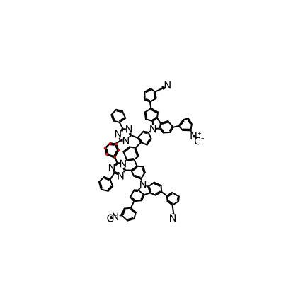 [C-]#[N+]c1cccc(-c2ccc3c(c2)c2cc(-c4cccc(C#N)c4)ccc2n3-c2ccc(-c3cccc(-c4ccc(-n5c6ccc(-c7cccc(C#N)c7)cc6c6cc(-c7cccc([N+]#[C-])c7)ccc65)cc4-c4nc(-c5ccccc5)nc(-c5ccccc5)n4)c3)c(-c3nc(-c4ccccc4)nc(-c4ccccc4)n3)c2)c1